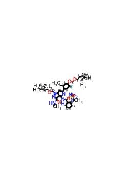 CCc1cc(OCOCC[Si](C)(C)C)c(F)cc1-c1cc2c(c(NCc3ccccc3N(C)S(N)(=O)=O)n1)c(C(=O)NC)nn2COCC[Si](C)(C)C